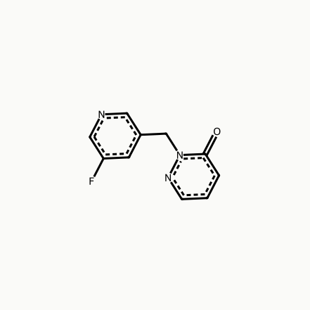 O=c1cccnn1Cc1cncc(F)c1